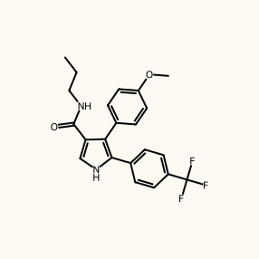 CCCNC(=O)c1c[nH]c(-c2ccc(C(F)(F)F)cc2)c1-c1ccc(OC)cc1